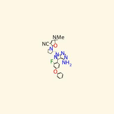 CNC(C)(C)/C=C(/C#N)C(=O)N1CCC[C@H]1Cn1nc(-c2ccc(Oc3ccccc3)cc2F)c2c(N)ncnc21